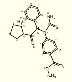 COC(=O)c1ccc(N(C(N)=S)N(C(=O)C2CCCC2)c2ccccc2C)cc1